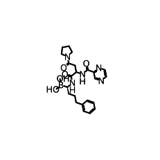 O=C(NC(CC(=O)N1CCCC1)C(=O)N[C@@H](CCCc1ccccc1)B(O)O)c1cnccn1